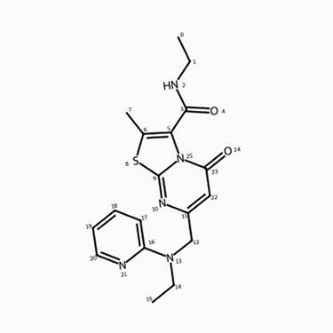 CCNC(=O)c1c(C)sc2nc(CN(CC)c3ccccn3)cc(=O)n12